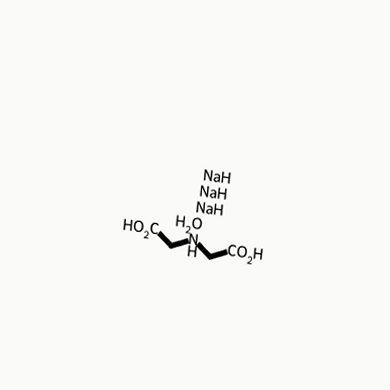 O.O=C(O)CNCC(=O)O.[NaH].[NaH].[NaH]